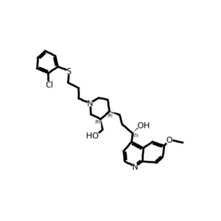 COc1ccc2nccc([C@@H](O)CC[C@@H]3CCN(CCCSc4ccccc4Cl)C[C@@H]3CO)c2c1